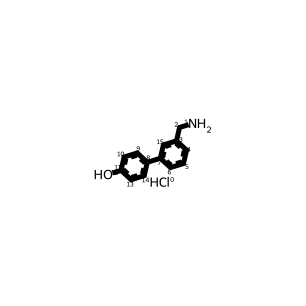 Cl.NCc1cccc(-c2ccc(O)cc2)c1